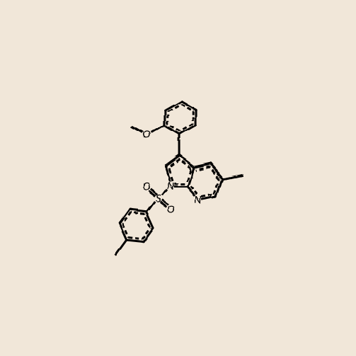 COc1ccccc1-c1cn(S(=O)(=O)c2ccc(C)cc2)c2ncc(C)cc12